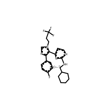 C[C@H](Nc1nccc(-c2c(-c3ccc(F)cc3)ncn2CCC(F)(F)F)n1)C1CCCCC1